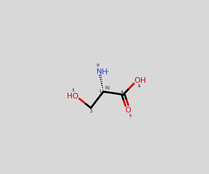 [NH][C@@H](CO)C(=O)O